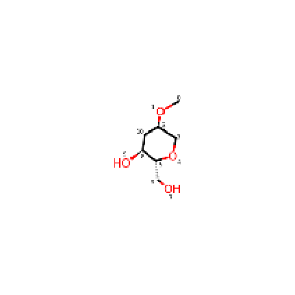 CO[C@H]1CO[C@H](CO)[C@@H](O)C1